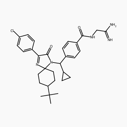 CC(C)(C)C1CCC2(CC1)N=C(c1ccc(Cl)cc1)C(=O)N2C(c1ccc(C(=O)NCC(=N)N)cc1)C1CC1